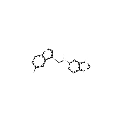 Clc1ccc2scc(CNc3ccc4[nH]cnc4c3)c2c1